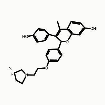 CC1=C(c2ccc(O)cc2)C(c2ccc(OCCN3CC[C@H](C)C3)cc2)Oc2cc(O)ccc21